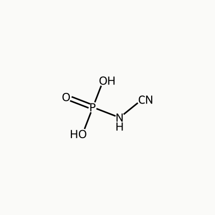 N#CNP(=O)(O)O